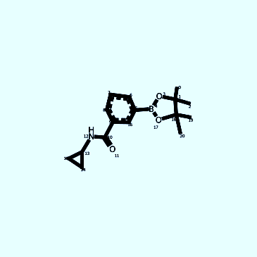 CC1(C)OB(c2cccc(C(=O)NC3CC3)c2)OC1(C)C